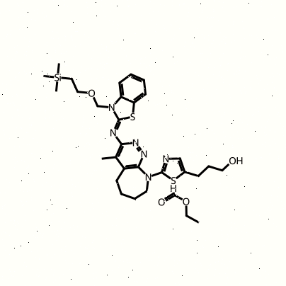 CCOC(=O)[SH]1C(CCCO)=CN=C1N1CCCCc2c1nnc(/N=c1\sc3ccccc3n1COCC[Si](C)(C)C)c2C